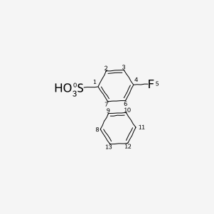 O=S(=O)(O)c1ccc(F)cc1.c1ccccc1